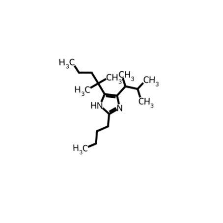 CCCCc1nc(C(C)C(C)C)c(C(C)(C)CCC)[nH]1